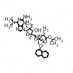 CC(C)OC(=O)[C@H](C)NP(=S)(COc1cccc2ccccc12)OC[C@@]1(F)O[C@@H](n2cnc3c(N(C)C)nc(N)nc32)[C@](C)(F)[C@@H]1O